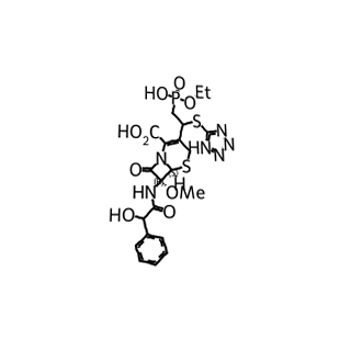 CCOP(=O)(O)CC(Sc1nnn[nH]1)C1=C(C(=O)O)N2C(=O)[C@@](NC(=O)C(O)c3ccccc3)(OC)[C@@H]2SC1